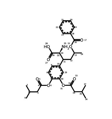 CC(C)CC(=O)Oc1ccc(C(CC(C)OC(=O)c2ccccc2)[C@H](N)C(=O)O)cc1OC(=O)CC(C)C